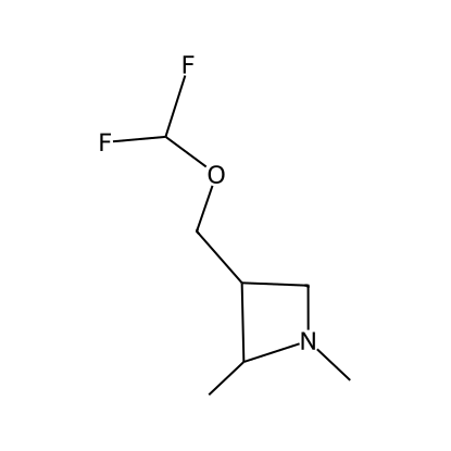 CC1C(COC(F)F)CN1C